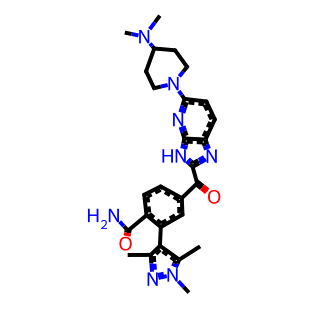 Cc1nn(C)c(C)c1-c1cc(C(=O)c2nc3ccc(N4CCC(N(C)C)CC4)nc3[nH]2)ccc1C(N)=O